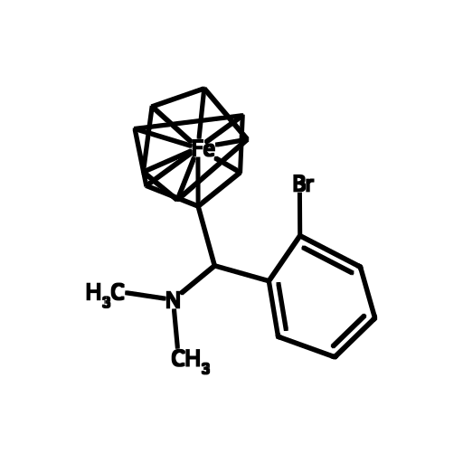 CN(C)C(c1ccccc1Br)[C]12[CH]3[CH]4[CH]5[CH]1[Fe]45321678[CH]2[CH]1[CH]6[CH]7[CH]28